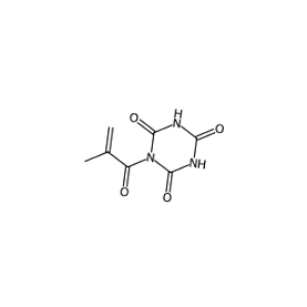 C=C(C)C(=O)n1c(=O)[nH]c(=O)[nH]c1=O